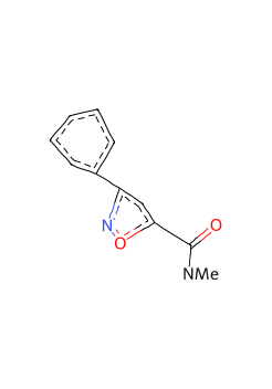 CNC(=O)c1cc(-c2ccccc2)no1